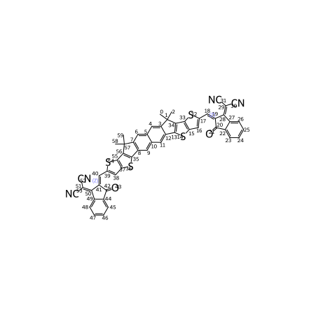 CC1(C)c2cc3cc4c(cc3cc2-c2sc3cc(/C=C5\C(=O)c6ccccc6C5=C(C#N)C#N)sc3c21)-c1sc2cc(/C=C3\C(=O)c5ccccc5C3=C(C#N)C#N)sc2c1C4(C)C